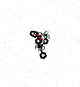 [C-]#[N+][C@H]1CC[C@@H](C(=O)OCc2ccccc2)N1C(=O)[C@@H](N)C1CC2CCC(C1)N2C(=O)c1ccc(C(F)(F)F)cc1